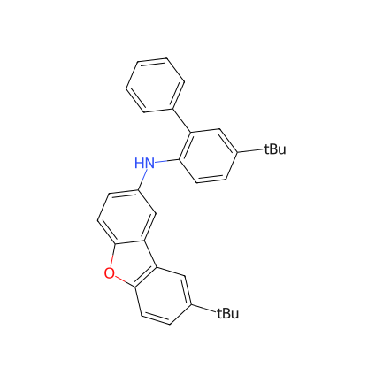 CC(C)(C)c1ccc(Nc2ccc3oc4ccc(C(C)(C)C)cc4c3c2)c(-c2ccccc2)c1